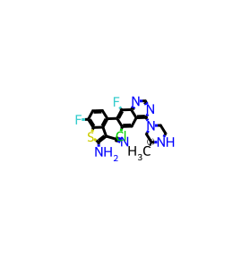 C[C@H]1CN(c2ncnc3c(F)c(-c4ccc(F)c5sc(N)c(C#N)c45)c(Cl)cc23)CCN1